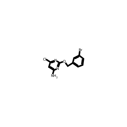 Nc1cc(Cl)nc(OCc2cccc(Br)c2)n1